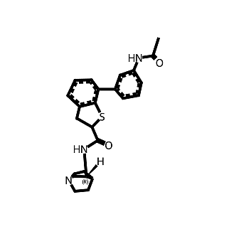 CC(=O)Nc1cccc(-c2cccc3c2SC(C(=O)N[C@H]2CN4CCC2CC4)C3)c1